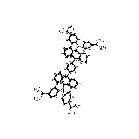 CC(C)c1ccc(N(c2ccc(C(C)C)cc2)c2c3ccccc3c(-c3ccc(-c4c5ccccc5c(N(c5ccc(C(C)C)cc5)c5ccc(C(C)C)cc5)c5ccccc45)cc3)c3ccccc23)cc1